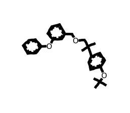 CC(C)(C)Oc1ccc(C(C)(C)COCc2cccc(Oc3ccccc3)c2)cc1